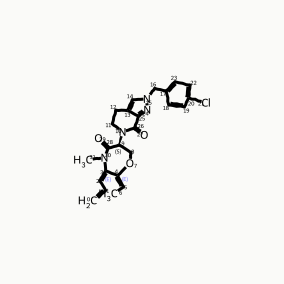 C=C/C=C1\C(=C/C)OC[C@H](N2CCc3cn(Cc4ccc(Cl)cc4)nc3C2=O)C(=O)N1C